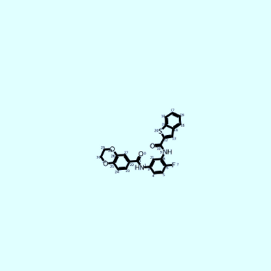 O=C(Nc1ccc(F)c(NC(=O)c2cc3ccccc3s2)c1)c1ccc2c(c1)OCCO2